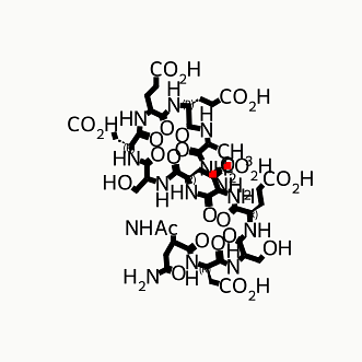 CC(=O)NC(CC(N)=O)C(=O)N[C@H](CC(=O)O)C(=O)NC(CO)C(=O)N[C@H](CCC(=O)O)C(=O)NC(CC(=O)O)C(=O)N[C@H](CC(N)=O)C(=O)NC(CO)C(=O)N[C@H](CC(=O)O)C(=O)NC(CCC(=O)O)C(=O)N[C@H](CCC(=O)O)C(=O)NC(C)C(N)=O